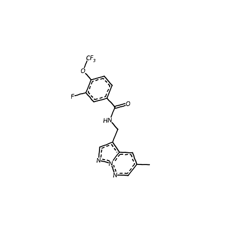 Cc1cnn2ncc(CNC(=O)c3ccc(OC(F)(F)F)c(F)c3)c2c1